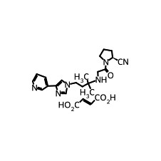 CC(C)(CCn1cnc(-c2cccnc2)c1)NCC(=O)N1CCC[C@H]1C#N.O=C(O)C=CC(=O)O